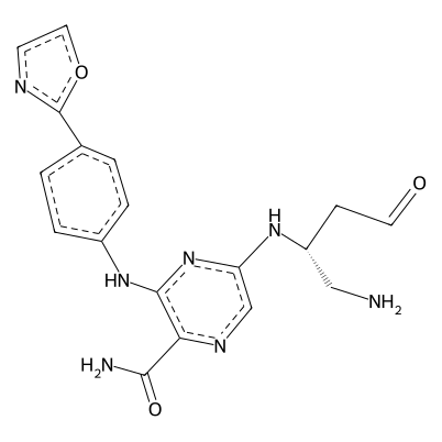 NC[C@@H](CC=O)Nc1cnc(C(N)=O)c(Nc2ccc(-c3ncco3)cc2)n1